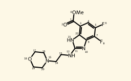 COC(=O)c1cc(F)c(F)c2nc(NCCN3CCOCC3)[nH]c12